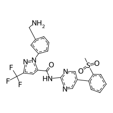 CS(=O)(=O)c1ccccc1-c1cnc(NC(=O)c2cc(C(F)(F)F)nn2-c2cccc(CN)c2)nc1